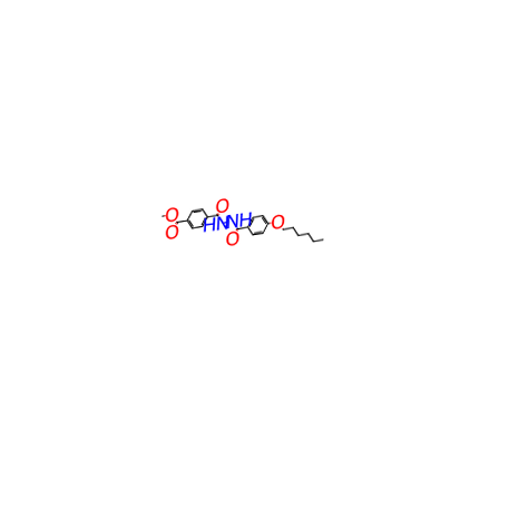 CCCCCCOc1ccc(C(=O)NNC(=O)c2ccc(C(=O)OC)cc2)cc1